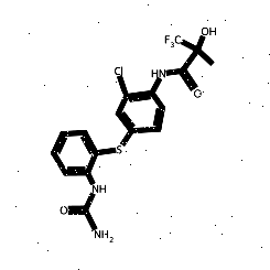 CC(O)(C(=O)Nc1ccc(Sc2ccccc2NC(N)=O)cc1Cl)C(F)(F)F